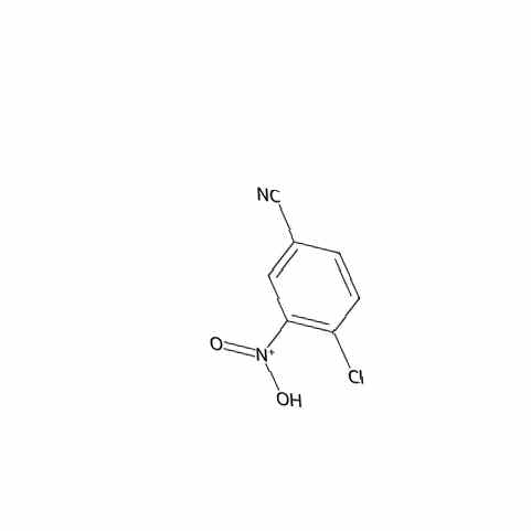 N#Cc1ccc(Cl)c([N+](=O)O)c1